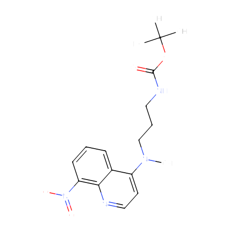 CN(CCCNC(=O)OC(C)(C)C)c1ccnc2c([N+](=O)[O-])cccc12